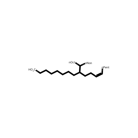 CCCCC/C=C\CCC(CCCCCCCC(=O)O)C(CCCCCCCC)CCCCCCCCC